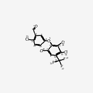 O=Cc1cc(Oc2c(Cl)cc(C(F)(F)F)c(Cl)c2Cl)ccc1Cl